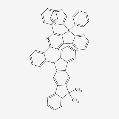 CC1(C)c2ccccc2-c2cc3c(cc21)c1ccccc1n3-c1ccccc1-c1nc(-c2ccccc2)c2c(n1)-c1ccccc1[Si]2(c1ccccc1)c1ccccc1